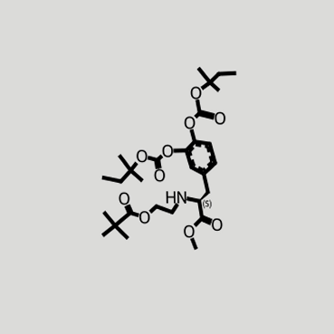 CCC(C)(C)OC(=O)Oc1ccc(C[C@H](NCCOC(=O)C(C)(C)C)C(=O)OC)cc1OC(=O)OC(C)(C)CC